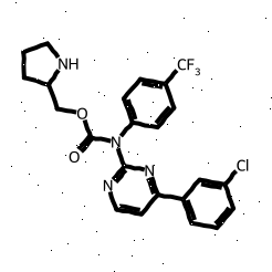 O=C(OCC1CCCN1)N(c1ccc(C(F)(F)F)cc1)c1nccc(-c2cccc(Cl)c2)n1